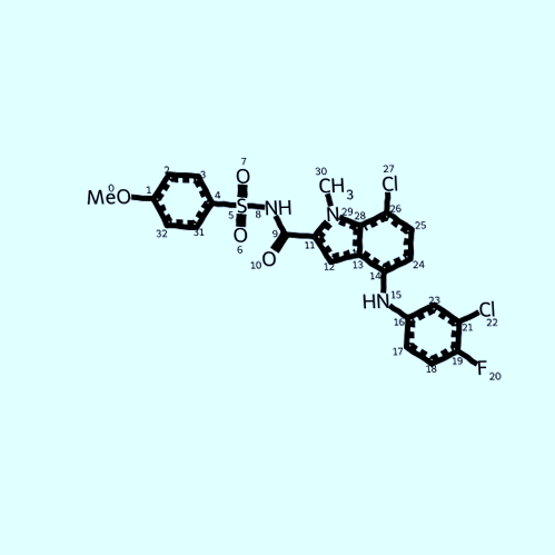 COc1ccc(S(=O)(=O)NC(=O)c2cc3c(Nc4ccc(F)c(Cl)c4)ccc(Cl)c3n2C)cc1